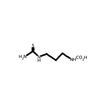 NC(=S)NCCCNC(=O)O